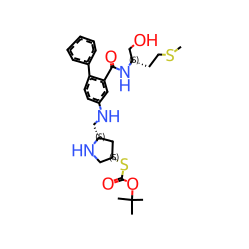 CSCC[C@@H](CO)NC(=O)c1cc(NC[C@@H]2C[C@H](SC(=O)OC(C)(C)C)CN2)ccc1-c1ccccc1